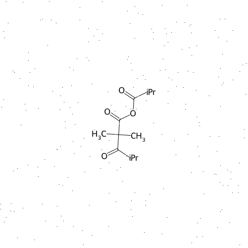 CC(C)C(=O)OC(=O)C(C)(C)C(=O)C(C)C